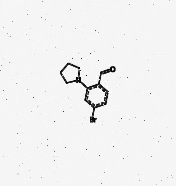 O=Cc1ccc(Br)cc1N1CCCC1